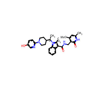 COc1cc(C)[nH]c(=O)c1CNC(=O)c1c(C)n([C@H](C)C2CCN(c3ccc(O)cn3)CC2)c2ccccc12